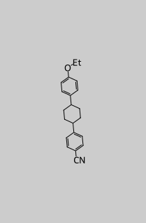 CCOc1ccc(C2CCC(c3ccc(C#N)cc3)CC2)cc1